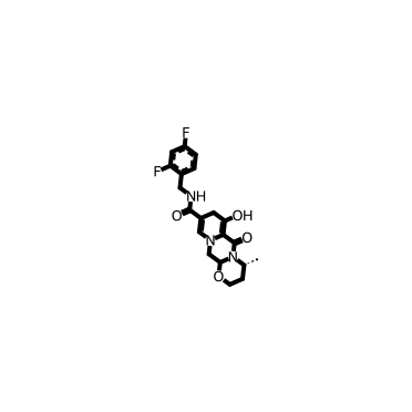 C[C@@H]1CCOC2CN3C=C(C(=O)NCc4ccc(F)cc4F)CC(O)=C3C(=O)N21